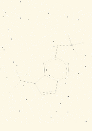 CC(C)[C]1C=Cc2cc3c(cc21)CC(C)(C)C3.[Hf]